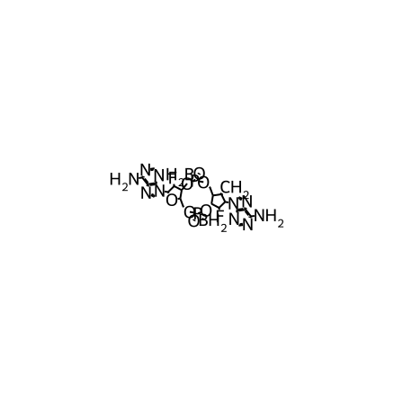 BP1(=O)OCC2C(=C)C(n3cnc4c(N)ncnc43)C(F)C2OP(B)(=O)OCC2OC(n3cnc4c(N)ncnc43)C(F)C2O1